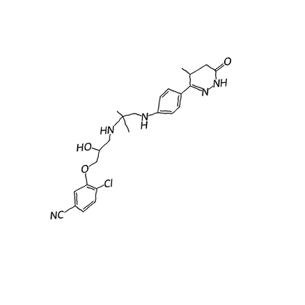 CC1CC(=O)NN=C1c1ccc(NCC(C)(C)NCC(O)COc2cc(C#N)ccc2Cl)cc1